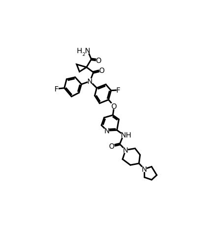 NC(=O)C1(C(=O)N(c2ccc(F)cc2)c2ccc(Oc3ccnc(NC(=O)N4CCC(N5CCCC5)CC4)c3)c(F)c2)CC1